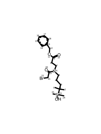 CC(C)(CCCN(CCC(=O)OCc1ccccc1)C(=O)CBr)[Si](C)(C)O